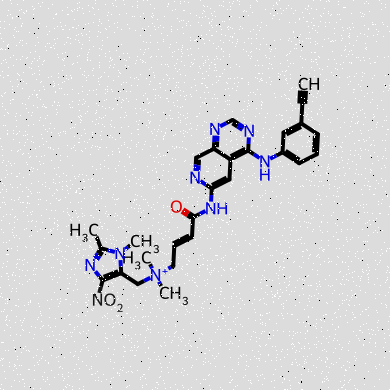 C#Cc1cccc(Nc2ncnc3cnc(NC(=O)/C=C/C[N+](C)(C)Cc4c([N+](=O)[O-])nc(C)n4C)cc23)c1